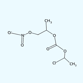 CC(Cl)OC(=O)OC(C)CO[N+](=O)[O-]